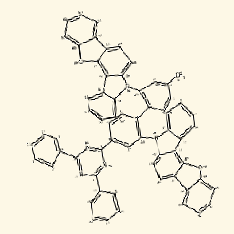 FC(F)(F)c1ccc(-c2ccc(-c3nc(-c4ccccc4)nc(-c4ccccc4)n3)cc2-n2c3ccccc3c3c4oc5ccccc5c4ccc32)c(-n2c3ccccc3c3c4oc5ccccc5c4ccc32)c1